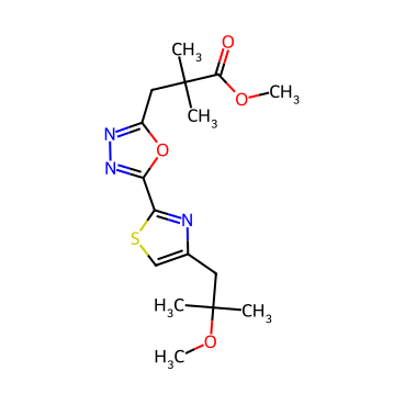 COC(=O)C(C)(C)Cc1nnc(-c2nc(CC(C)(C)OC)cs2)o1